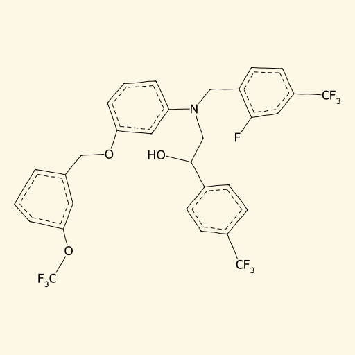 OC(CN(Cc1ccc(C(F)(F)F)cc1F)c1cccc(OCc2cccc(OC(F)(F)F)c2)c1)c1ccc(C(F)(F)F)cc1